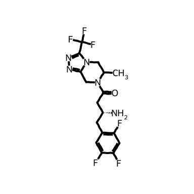 CC1Cn2c(nnc2C(F)(F)F)CN1C(=O)C[C@H](N)Cc1cc(F)c(F)cc1F